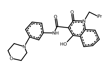 CC(C)Cn1c(=O)c(C(=O)Nc2cccc(N3CCOCC3)c2)c(O)c2ccccc21